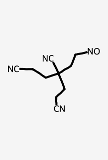 N#CCCC(C#N)(CCC#N)CCN=O